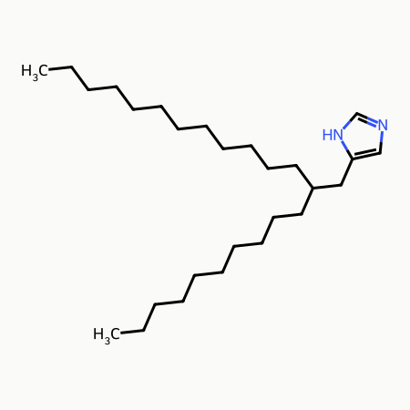 CCCCCCCCCCCCC(CCCCCCCCCC)Cc1cnc[nH]1